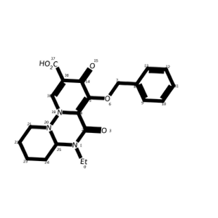 CCN1C(=O)c2c(OCc3ccccc3)c(=O)c(C(=O)O)cn2N2CCCCC12